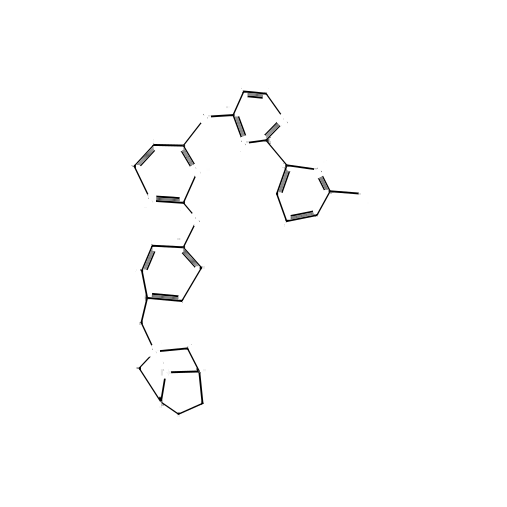 Cc1cccc(-c2nccc(Nc3ccnc(Nc4ccc(CN5CC6CCC(C5)N6)cc4)n3)n2)n1